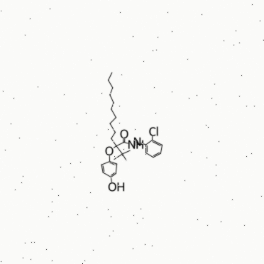 CCCCCCCCCCC(Oc1ccc(O)cc1)(C(=O)N[N]c1ccccc1Cl)C(C)(C)C